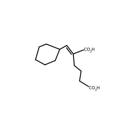 O=C(O)CCCC(=CC1CCCCC1)C(=O)O